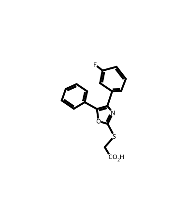 O=C(O)CSc1nc(-c2cccc(F)c2)c(-c2ccccc2)o1